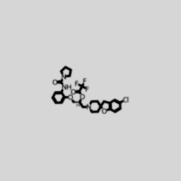 O=C(Nc1ccccc1OC[C@H](CN1CCC2(CC1)Cc1cc(Cl)ccc1O2)OC(=O)C(F)(F)F)N1CCCC1